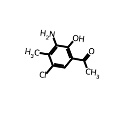 CC(=O)c1cc(Cl)c(C)c(N)c1O